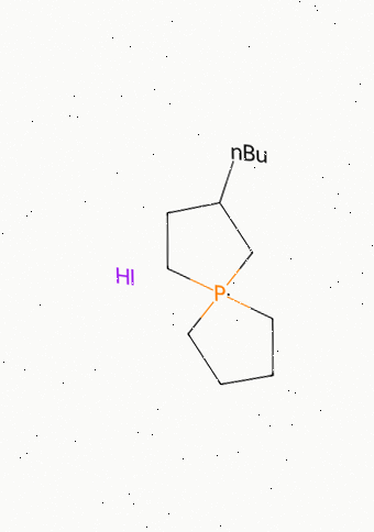 CCCCC1CC[P]2(CCCC2)C1.I